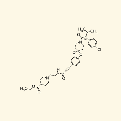 CCOC(=O)C1CCN(CCNC(=O)C#Cc2ccc3c(c2)OC2(CCN(C(=O)[C@H](c4ccc(Cl)cc4)C(C)C)CC2)O3)CC1